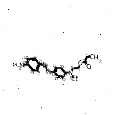 C=CC(=O)OCCN(CC)c1ccc(/N=N/c2ccc(N)cc2)cc1